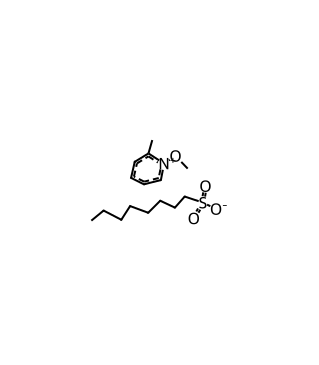 CCCCCCCCS(=O)(=O)[O-].CO[n+]1ccccc1C